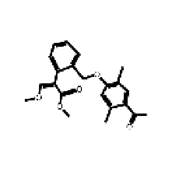 COC=C(C(=O)OC)c1ccccc1COc1cc(C)c(C(C)=O)cc1C